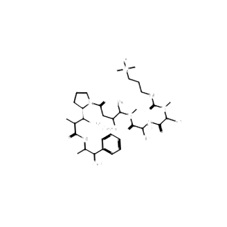 CCC(C)C(C(CC(=O)N1CCC[C@@H]1C(OC)C(C)C(=O)NC(C)C(O)c1ccccc1)OC)N(C)C(=O)C(NC(=O)C(C(C)C)N(C)C(=O)NCCC[Si](C)(C)O)C(C)C